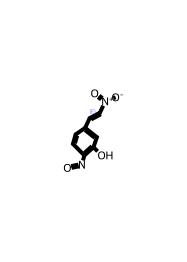 O=Nc1ccc(/C=C/[N+](=O)[O-])cc1O